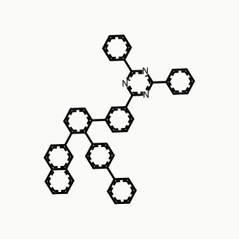 c1ccc(-c2ccc(-c3c(-c4cccc(-c5nc(-c6ccccc6)nc(-c6ccccc6)n5)c4)cccc3-c3ccc4ccccc4c3)cc2)cc1